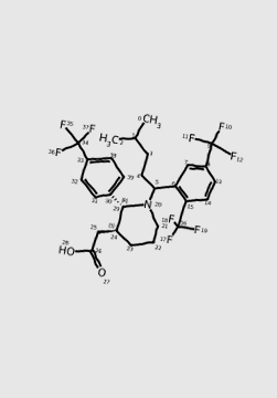 CC(C)CCC(c1cc(C(F)(F)F)ccc1C(F)(F)F)N1CCC[C@@H](CC(=O)O)[C@@H]1c1ccc(C(F)(F)F)cc1